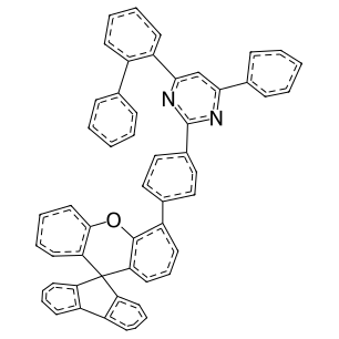 c1ccc(-c2cc(-c3ccccc3-c3ccccc3)nc(-c3ccc(-c4cccc5c4Oc4ccccc4C54c5ccccc5-c5ccccc54)cc3)n2)cc1